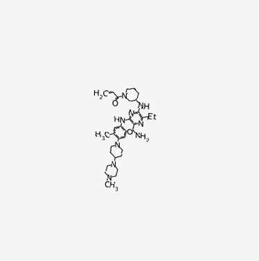 C=CC(=O)N1CCC[C@@H](Nc2nc(Nc3ccc(N4CCC(N5CCN(C)CC5)CC4)c(C)c3)c(C(N)=O)nc2CC)C1